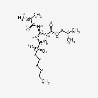 CCCCCCS(=O)(=O)c1nn(C(=O)OCC(C)C)c(=NC(=O)N(C)C)s1